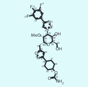 CO[C@@H]1[C@@H](n2cc(-c3cc(F)c(F)c(F)c3)nn2)[C@@H](O)[C@@H](CO)O[C@@H]1Cc1cc(C2CCC(OC(N)=O)CC2)no1